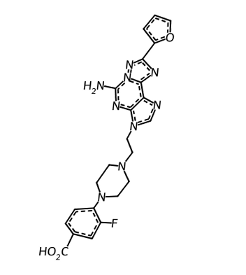 Nc1nc2c(ncn2CCN2CCN(c3ccc(C(=O)O)cc3F)CC2)c2nc(-c3ccco3)nn12